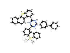 CS1(C)c2ccccc2-c2c(-c3nc(-c4ccc(-c5ccccc5)cc4)nc(-c4cccc5sc6c7ccccc7ccc6c45)n3)cccc21